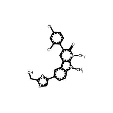 Cn1c(=O)c(-c2ccc(Cl)cc2Cl)cc2c3cc(-c4cnc(CO)o4)ccc3n(C)c21